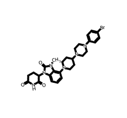 Cn1c(=O)n(C2CCC(=O)NC2=O)c2cccc(N3CCC(N4CCN(c5ccc(Br)cc5)CC4)CC3)c21